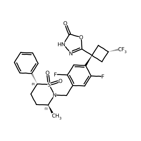 C[C@H]1CC[C@H](c2ccccc2)S(=O)(=O)N1Cc1cc(F)c([C@]2(c3n[nH]c(=O)o3)C[C@@H](C(F)(F)F)C2)cc1F